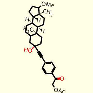 COC1CC[C@H]2[C@@H]3CCC4CC(O)(C#Cc5ccc(C(=O)COC(C)=O)cc5)CC[C@]4(C)[C@@H]3CC[C@]12C